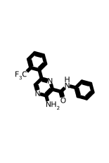 Nc1ncc(-c2ccccc2C(F)(F)F)nc1C(=O)Nc1ccccc1